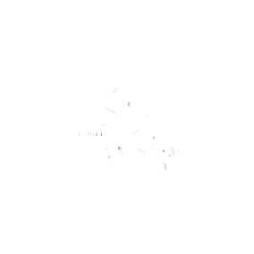 CCNc1ccc2c(c1)Oc1cc(C)cc(C)c1C21OC(=O)c2ccccc21